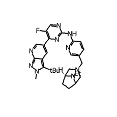 CCN1C2CC[C@H]1CN(Cc1ccc(Nc3ncc(F)c(-c4cnc5nn(C)c(C(C)(C)C)c5c4)n3)nc1)C2